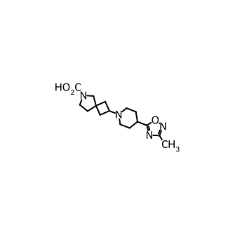 Cc1noc(C2CCN(C3CC4(CCN(C(=O)O)C4)C3)CC2)n1